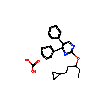 CCC(CCC1CC1)Oc1ncc(-c2ccccc2)c(-c2ccccc2)n1.O=C(O)O